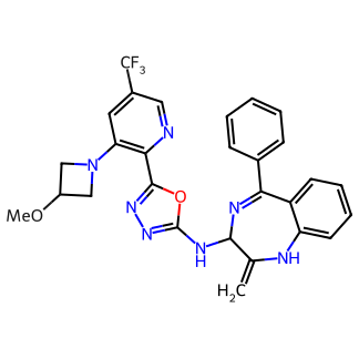 C=C1Nc2ccccc2C(c2ccccc2)=NC1Nc1nnc(-c2ncc(C(F)(F)F)cc2N2CC(OC)C2)o1